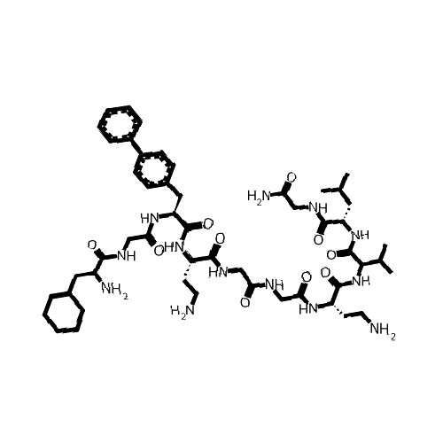 CC(C)C[C@H](NC(=O)C(NC(=O)[C@H](CCN)NC(=O)CNC(=O)CNC(=O)[C@H](CCN)NC(=O)[C@H](Cc1ccc(-c2ccccc2)cc1)NC(=O)CNC(=O)C(N)CC1CCCCC1)C(C)C)C(=O)NCC(N)=O